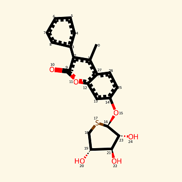 Cc1c(-c2ccccc2)c(=O)oc2cc(O[C@@H]3SC[C@@H](O)[C@H](O)[C@H]3O)ccc12